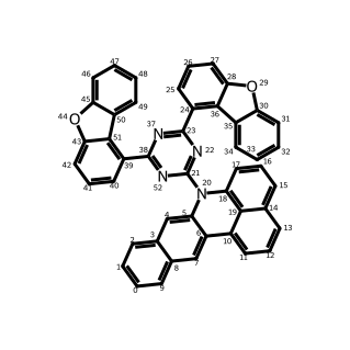 c1ccc2cc3c(cc2c1)-c1cccc2cccc(c12)N3c1nc(-c2cccc3oc4ccccc4c23)nc(-c2cccc3oc4ccccc4c23)n1